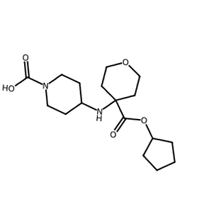 O=C(O)N1CCC(NC2(C(=O)OC3CCCC3)CCOCC2)CC1